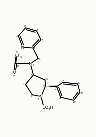 O=C(O)N1CCC(N(Cc2ccccn2)C(=O)C(F)(F)F)C[C@H]1c1ccccc1